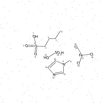 CCCCS(=O)(=O)O.Cn1ccnc1.O=S(=O)(O)O.[Cl][Fe]([Cl])[Cl]